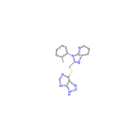 Cc1ccccc1-n1c(CSc2ncnc3[nH]cnc23)nc2cccnc21